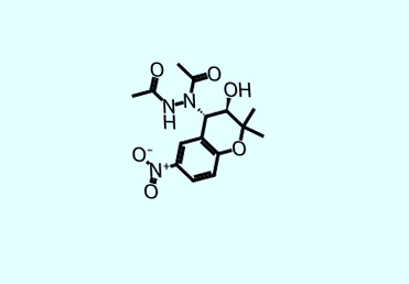 CC(=O)NN(C(C)=O)[C@H]1c2cc([N+](=O)[O-])ccc2OC(C)(C)[C@@H]1O